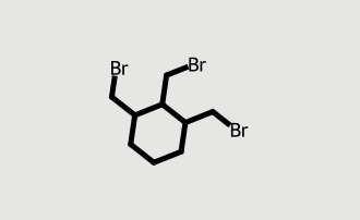 BrCC1CCCC(CBr)C1CBr